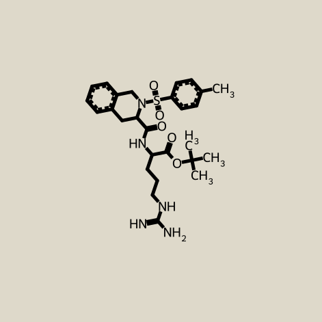 Cc1ccc(S(=O)(=O)N2Cc3ccccc3CC2C(=O)NC(CCCNC(=N)N)C(=O)OC(C)(C)C)cc1